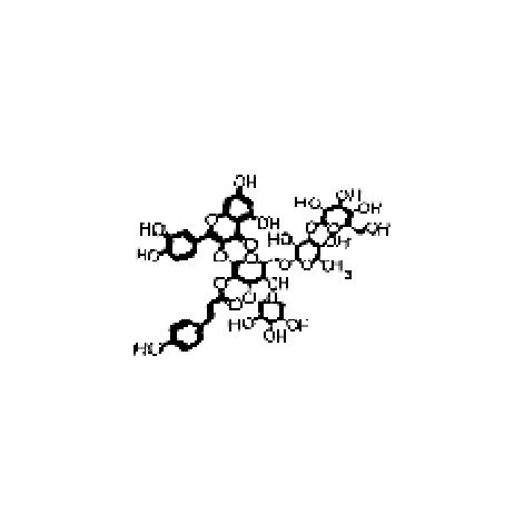 C[C@@H]1O[C@@H](OC[C@H]2O[C@@H](Oc3c(-c4ccc(O)c(O)c4)oc4cc(O)cc(O)c4c3=O)[C@H](OC(=O)/C=C/c3ccc(O)cc3)[C@@H](O[C@@H]3OC[C@H](O)[C@H](O)[C@H]3O)[C@@H]2O)[C@H](O)[C@H](O[C@@H]2O[C@H](CO)[C@@H](O)[C@H](O)[C@H]2O)[C@H]1O